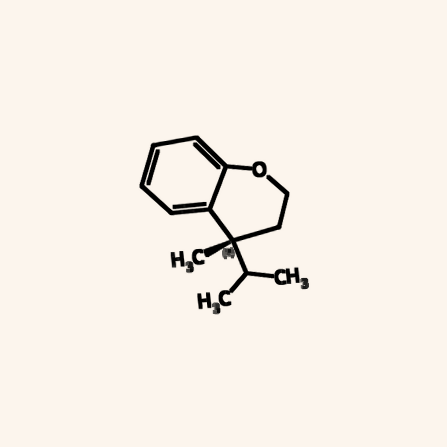 CC(C)[C@@]1(C)CCOc2ccccc21